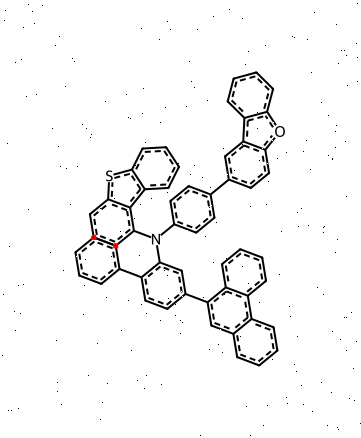 c1ccc(-c2ccc(-c3cc4ccccc4c4ccccc34)cc2N(c2ccc(-c3ccc4oc5ccccc5c4c3)cc2)c2cccc3sc4ccccc4c23)cc1